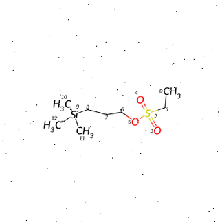 CCS(=O)(=O)OCCC[Si](C)(C)C